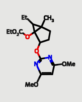 CCOC(=O)OC12C(Oc3nc(OC)cc(OC)n3)CCC1(C)C2CC